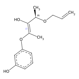 C=CCO[C@H](C)/C(O)=C(\C)Oc1cccc(O)c1